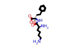 NCCCC[C@H](N)C(=O)N[C@@H](CCc1ccccc1)C(=O)O